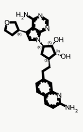 Nc1ccc2ccc(CC[C@H]3C[C@@H](n4cc([C@H]5CCOC5)c5c(N)ncnc54)[C@H](O)[C@@H]3O)cc2n1